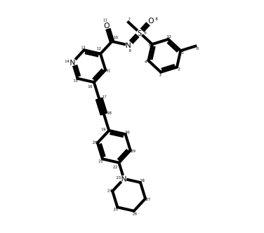 Cc1cccc(S(C)(=O)=NC(=O)c2cncc(C#Cc3ccc(N4CCCCC4)cc3)c2)c1